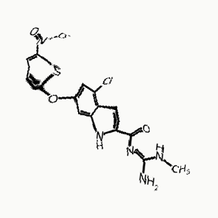 CNC(N)=NC(=O)c1cc2c(Cl)cc(Oc3ccc([N+](=O)[O-])s3)cc2[nH]1